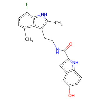 Cc1[nH]c2c(F)ccc(C)c2c1CCNC(=O)c1cc2cc(O)ccc2[nH]1